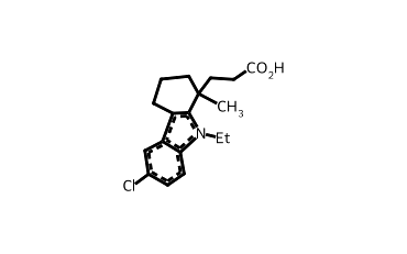 CCn1c2c(c3cc(Cl)ccc31)CCCC2(C)CCC(=O)O